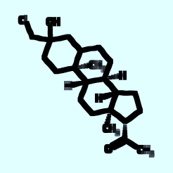 CC(=O)[C@H]1CC[C@H]2[C@@H]3CCC4CC(O)(CCl)CC[C@]4(C)[C@H]3CC[C@]12C